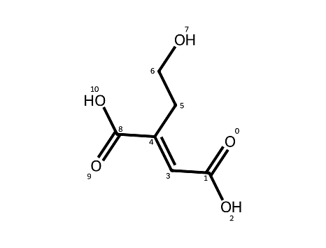 O=C(O)/C=C(\CCO)C(=O)O